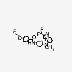 CN(c1cccc2nc(C(F)F)cn12)[C@H]1CC[C@@H](NC(=O)c2ccc(OCCF)cc2)CC1